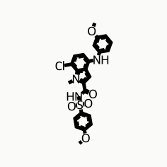 COc1ccc(S(=O)(=O)NC(=O)c2cc3c(Nc4cccc(OC)c4)ccc(Cl)c3n2C)cc1